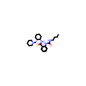 CCCCNC(=O)Nc1ccccc1C(=O)N[C@@H]1CCCC[C@H]1CN1CCCCC1